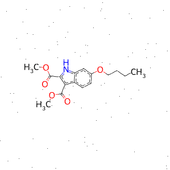 CCCCOc1ccc2c(C(=O)OC)c(C(=O)OC)[nH]c2c1